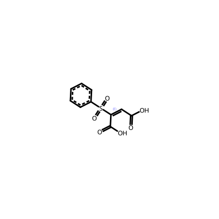 O=C(O)/C=C(\C(=O)O)S(=O)(=O)c1ccccc1